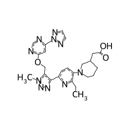 CCc1nc(-c2nnn(C)c2COc2cc(-n3nccn3)ncn2)ccc1N1CCCC(CC(=O)O)C1